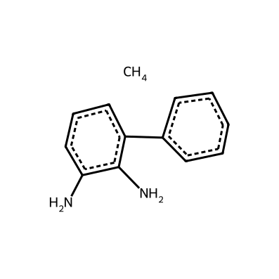 C.Nc1cccc(-c2ccccc2)c1N